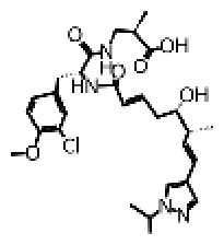 COc1ccc(C[C@@H](NC(=O)/C=C/C[C@H](O)[C@H](C)/C=C/c2cnn(C(C)C)c2)C(=O)NC[C@@H](C)C(=O)O)cc1Cl